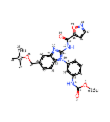 CC(C)(C)OC(=O)Nc1cccc(-n2c(NC(=O)c3ccno3)nc3cc(CO[Si](C)(C)C(C)(C)C)ccc32)c1